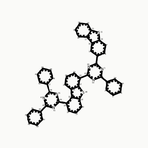 c1ccc(-c2nc(-c3ccc4sc5ccccc5c4c3)nc(-c3cccc4c3sc3cccc(-c5nc(-c6ccccc6)nc(-c6ccccc6)n5)c34)n2)cc1